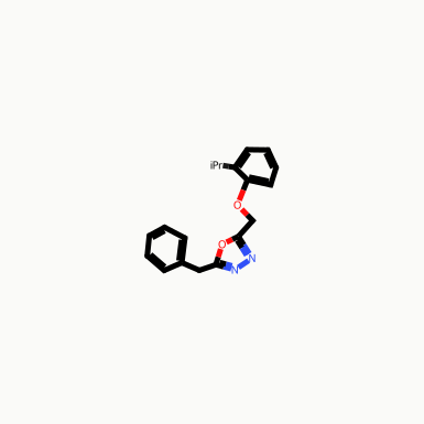 CC(C)c1ccccc1OCc1nnc(Cc2ccccc2)o1